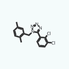 Cc1ccc(C)c(Cn2nnnc2-c2cccc(Cl)c2Cl)c1